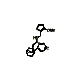 COc1ccsc1CNCCC1(c2ccccn2)CC2CCC1CC2.Cl